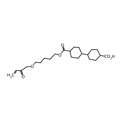 C=CC(=O)COCCCCCOC(=O)C1CCC(C2CCC(C(=O)O)CC2)CC1